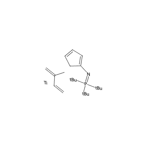 C=CC(=C)C.CC(C)(C)P(=NC1=CC=CC1)(C(C)(C)C)C(C)(C)C.[Ti]